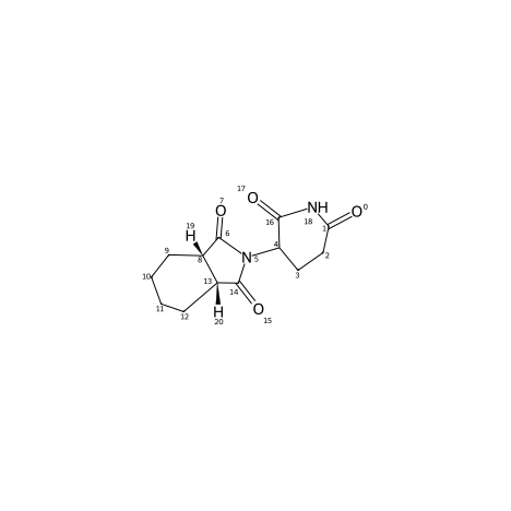 O=C1CCC(N2C(=O)[C@H]3CCCC[C@H]3C2=O)C(=O)N1